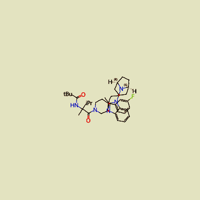 Cc1nc2ccccc2n1C1C[C@H]2CC[C@@H](C1)N2CCC1(c2cccc(F)c2)CCN(C(=O)C(C)(NC(=O)C(C)(C)C)C(C)C)CC1